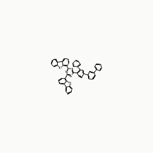 c1ccc(-c2cccc(-c3ccc(-c4nc(-c5cccc6c5oc5ccccc56)nc(-c5cccc6c5oc5ccccc56)n4)c(-c4ccccc4)c3)c2)cc1